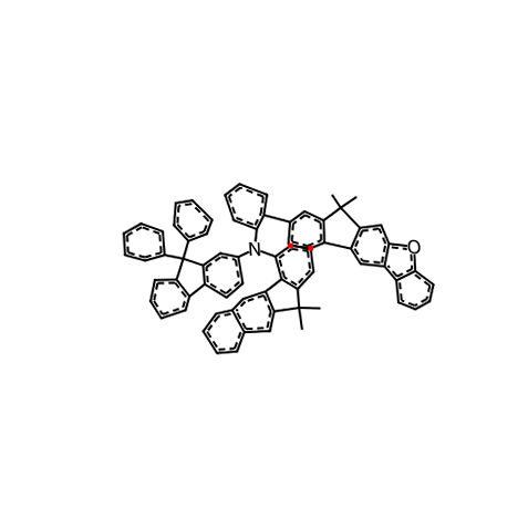 CC1(C)c2cc(-c3ccccc3N(c3ccc4c(c3)C(c3ccccc3)(c3ccccc3)c3ccccc3-4)c3cccc4c3-c3cc5ccccc5cc3C4(C)C)ccc2-c2cc3c(cc21)oc1ccccc13